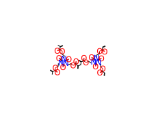 C=CC(=O)OCCn1c(=O)n(CCOC(=O)C=C)c(=O)n(CCOC(=O)C(=C)CC(=C)C(=O)OCCn2c(=O)n(CCOC(=O)C(=C)C)c(=O)n(CCOC(=O)C(=C)C)c2=O)c1=O